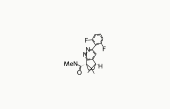 CNC(=O)[C@]12CC[C@H](c3cc(-c4c(F)cccc4F)nnc31)C2(C)C